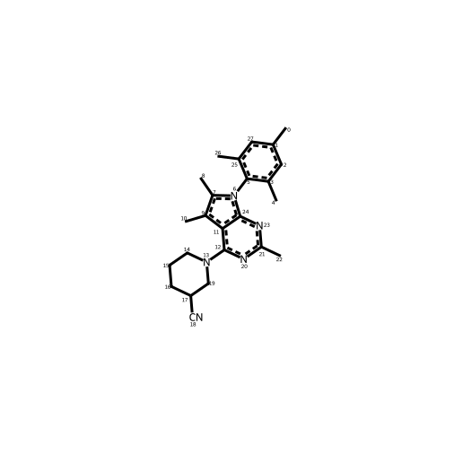 Cc1cc(C)c(-n2c(C)c(C)c3c(N4CCCC(C#N)C4)nc(C)nc32)c(C)c1